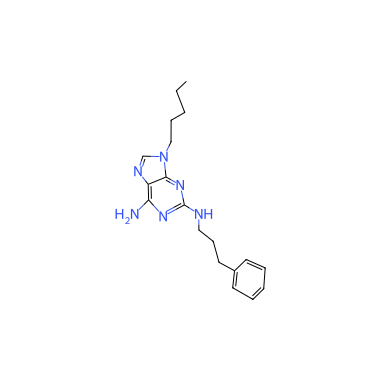 CCCCCn1cnc2c(N)nc(NCCCc3ccccc3)nc21